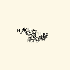 CC(C)(C)NC1CCN(c2c(C#N)c(Nc3cccc(Nc4nccc(C(F)(F)F)n4)c3)nc3ccccc23)CC1.Cl